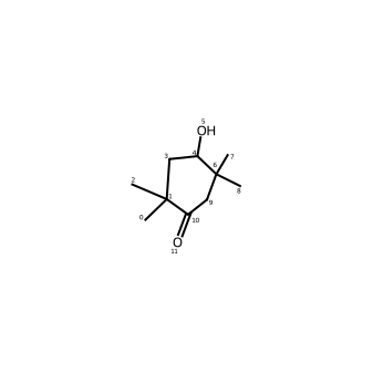 CC1(C)CC(O)C(C)(C)CC1=O